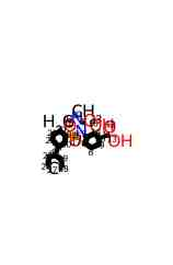 CN(C)C(=O)N(c1cccc(C(=O)O)c1O)S(=O)(=O)c1cccc(-c2ccccc2)c1